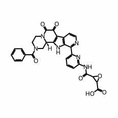 O=C1C(=O)N2CCN(C(=O)c3ccccc3)C[C@H]2c2[nH]c3c(-c4cccc(NC(=O)C5OC5C(=O)O)n4)nccc3c21